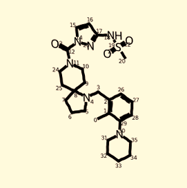 Cc1c(CN2CCCC23CCN(C(=O)n2ccc(NS(C)(=O)=O)n2)CC3)cccc1N1CCCCC1